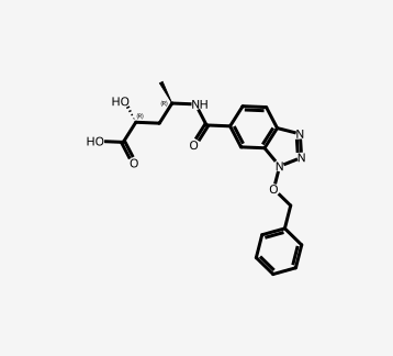 C[C@H](C[C@@H](O)C(=O)O)NC(=O)c1ccc2nnn(OCc3ccccc3)c2c1